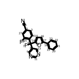 N#Cc1ccc(C(F)(c2cncnc2)c2ccc(-c3ccccc3)o2)c(F)c1